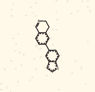 C1=NCCc2cc(-c3ccc4sccc4c3)ccc21